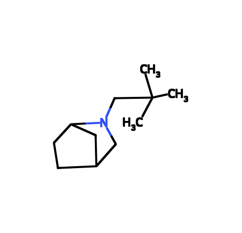 CC(C)(C)CN1CC2CCC1C2